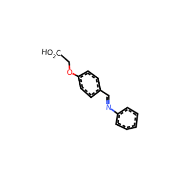 O=C(O)COc1ccc(/C=N/c2ccccc2)cc1